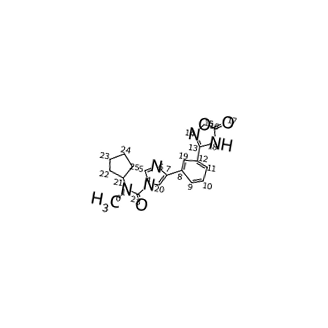 CN(C(=O)n1cnc(-c2cccc(-c3noc(=O)[nH]3)c2)c1)C1CCCC1